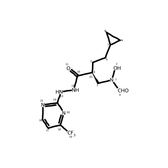 O=CN(O)C[C@H](CCC1CC1)C(=O)NNc1nccc(C(F)(F)F)n1